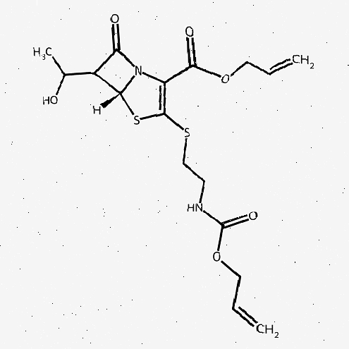 C=CCOC(=O)NCCSC1=C(C(=O)OCC=C)N2C(=O)C(C(C)O)[C@H]2S1